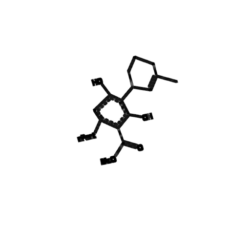 CCCCCc1cc(O)c(C2C=C(C)CCC2)c(O)c1C(=O)OC